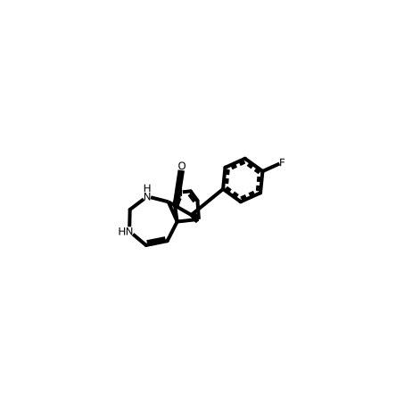 O=C1C(c2ccc(F)cc2)=C2C=CN=CC23C=CNCNC13